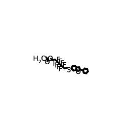 C=CC(=O)OCCC(F)(F)C(F)(F)C(F)(F)C(F)(F)CCSc1ccc2cc(-c3ccccc3)oc2c1